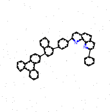 c1ccc(-c2ccc3ccc4ccc(-c5ccc(-c6ccc(-c7ccc8c9ccccc9c9ccccc9c8c7)c7ccccc67)cc5)nc4c3n2)cc1